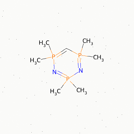 CP1(C)=CP(C)(C)=NP(C)(C)=N1